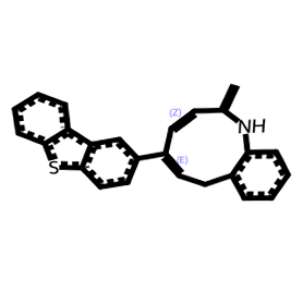 C=C1/C=C\C(c2ccc3sc4ccccc4c3c2)=C/Cc2ccccc2N1